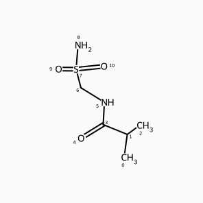 CC(C)C(=O)NCS(N)(=O)=O